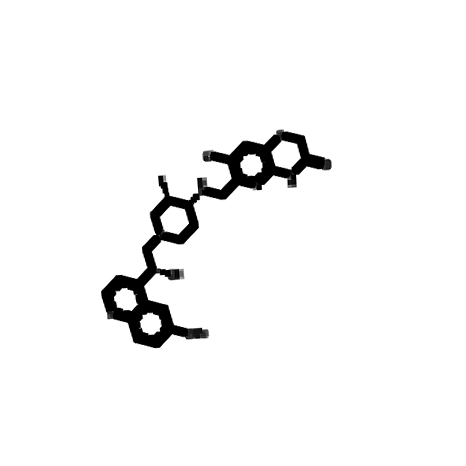 COc1ccc2nccc([C@@H](O)CN3CC[C@@H](NCc4nc5c(cc4Cl)SCC(=O)N5)[C@@H](F)C3)c2c1